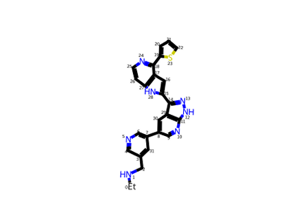 CCNCc1cncc(-c2cnc3[nH]nc(-c4cc5c(-c6cccs6)nccc5[nH]4)c3c2)c1